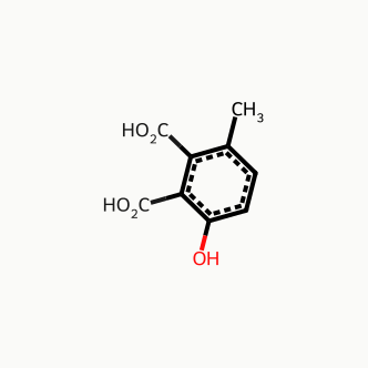 Cc1ccc(O)c(C(=O)O)c1C(=O)O